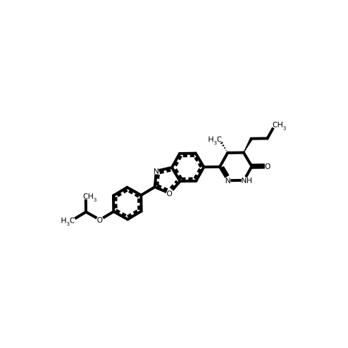 CCC[C@H]1C(=O)NN=C(c2ccc3nc(-c4ccc(OC(C)C)cc4)oc3c2)[C@@H]1C